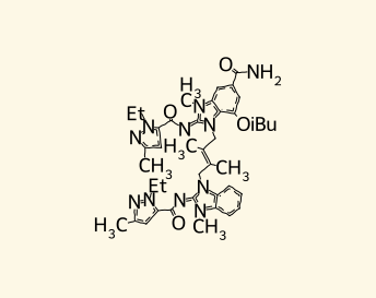 CCn1nc(C)cc1C(=O)/N=c1\n(C)c2ccccc2n1C/C(C)=C(\C)Cn1/c(=N/C(=O)c2cc(C)nn2CC)n(C)c2cc(C(N)=O)cc(OCC(C)C)c21